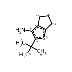 CC(C)(C)c1sc2c(c1N)CCC2